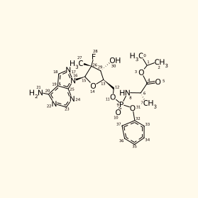 CC(C)OC(=O)[C@H](C)NP(=O)(OC[C@H]1O[C@@H](n2ncc3c(N)ncnc32)[C@](C)(F)[C@@H]1O)Oc1ccccc1